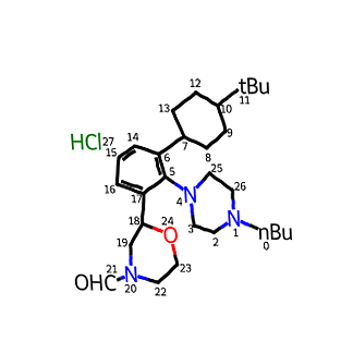 CCCCN1CCN(c2c(C3CCC(C(C)(C)C)CC3)cccc2C2CN(C=O)CCO2)CC1.Cl